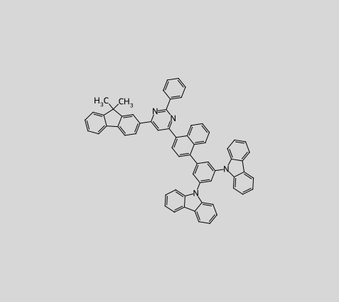 CC1(C)c2ccccc2-c2ccc(-c3cc(-c4ccc(-c5cc(-n6c7ccccc7c7ccccc76)cc(-n6c7ccccc7c7ccccc76)c5)c5ccccc45)nc(-c4ccccc4)n3)cc21